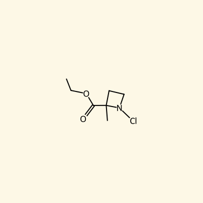 CCOC(=O)C1(C)CCN1Cl